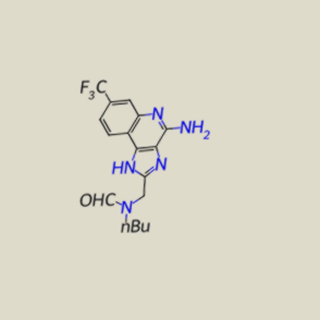 CCCCN(C=O)Cc1nc2c(N)nc3cc(C(F)(F)F)ccc3c2[nH]1